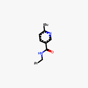 CC(C)CNC(=O)c1ccc(C(C)(C)C)nc1